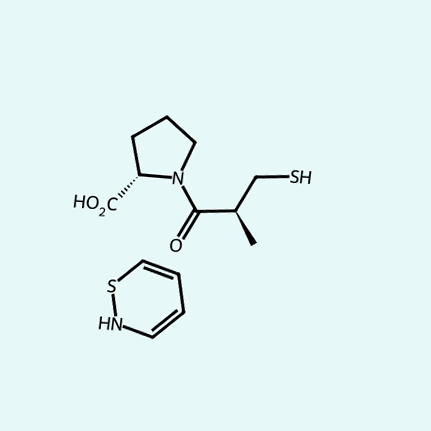 C1=CNSC=C1.C[C@H](CS)C(=O)N1CCC[C@H]1C(=O)O